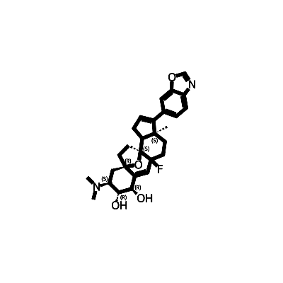 CN(C)[C@H]1C[C@@]23CC[C@]4(O2)C2CC=C(c5ccc6ncoc6c5)[C@@]2(C)CCC4(F)C=C3[C@@H](O)[C@@H]1O